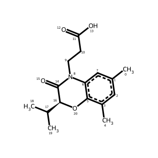 Cc1cc(C)c2c(c1)N(CCC(=O)O)C(=O)[C@H](C(C)C)O2